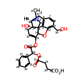 CN1CCC23c4c5ccc(CO)c4OC2C(OC(=O)[C@@H](OC(=O)CCC(=O)O)c2ccccc2)=CC[C@@]3(O)[C@H]1C5